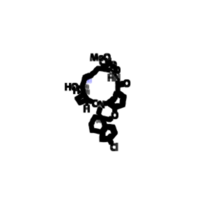 COCC1(C)C/C=C/[C@H](O)[C@@H]2CC[C@H]2CN2C[C@@]3(CCCc4cc(Cl)ccc43)COc3ccc(cc32)C(=O)NS1(=O)=O